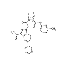 Cc1cccc(NC(=O)[C@@H]2C3CCC(C3)N2C(=O)Cn2nc(C(N)=O)c3cc(-c4cccnc4)ccc32)n1